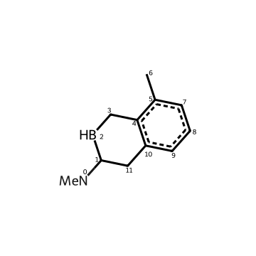 CNC1BCc2c(C)cccc2C1